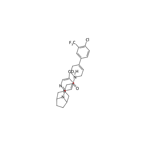 O=C(O)c1ccc(N2C3CCC2CN(CC(=O)N2CC=C(c4ccc(Cl)c(C(F)(F)F)c4)CC2)C3)nc1